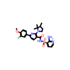 COc1ccc(-c2ccc(C(=O)NS(=O)(=O)c3cccnc3N)c(N3CCC(C)C3(C)C)n2)cc1F